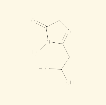 CC(C)CC1=NCC(=O)N1C